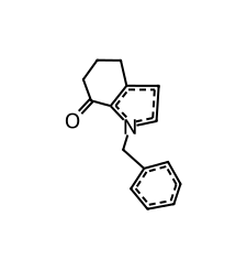 O=C1CCCc2ccn(Cc3ccccc3)c21